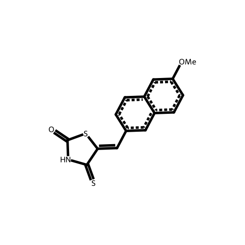 COc1ccc2cc(/C=C3\SC(=O)NC3=S)ccc2c1